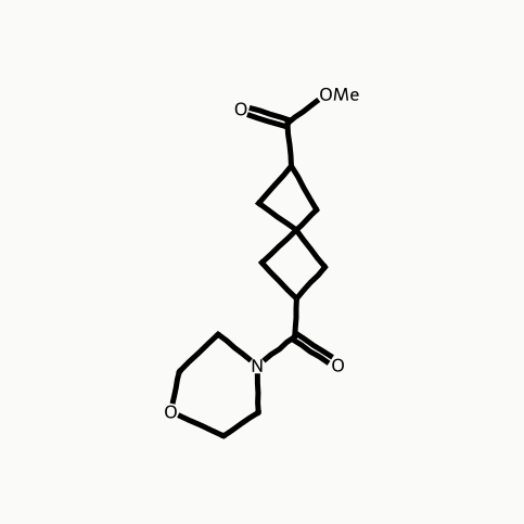 COC(=O)C1CC2(C1)CC(C(=O)N1CCOCC1)C2